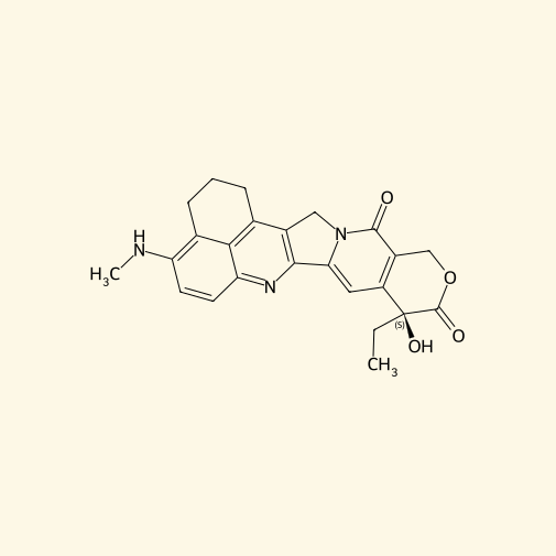 CC[C@@]1(O)C(=O)OCc2c1cc1n(c2=O)Cc2c-1nc1ccc(NC)c3c1c2CCC3